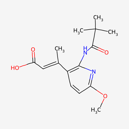 COc1ccc(C(C)=CC(=O)O)c(NC(=O)C(C)(C)C)n1